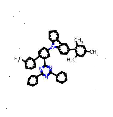 Cc1cc(C)c(-c2ccc3c(c2)c2ccccc2n3-c2ccc(-c3cccc(C(F)(F)F)c3)c(-c3nc(-c4ccccc4)nc(-c4ccccc4)n3)c2)c(C)c1